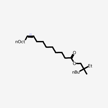 CCCCCCCC/C=C\CCCCCCCC(=O)OCC(C)(CC)CCCC